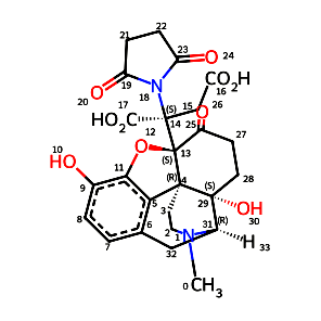 CN1CC[C@]23c4c5ccc(O)c4O[C@@]2([C@@](CC(=O)O)(C(=O)O)N2C(=O)CCC2=O)C(=O)CC[C@@]3(O)[C@H]1C5